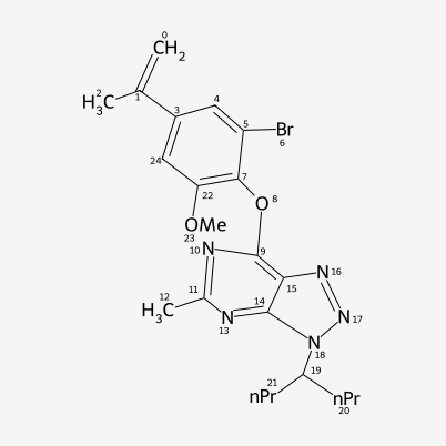 C=C(C)c1cc(Br)c(Oc2nc(C)nc3c2nnn3C(CCC)CCC)c(OC)c1